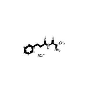 C[C@H](N)C(=O)NC(=O)CCc1ccccc1.Cl